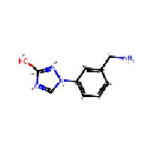 NCc1cccc(-n2cnc(O)n2)c1